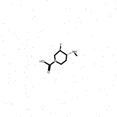 CN[C@@H]1CCN(C(=O)O)C[C@H]1F